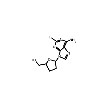 Nc1nc(F)nc2c1ncn2C1CCC(CO)O1